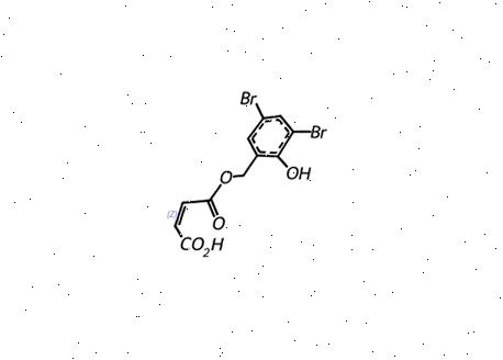 O=C(O)/C=C\C(=O)OCc1cc(Br)cc(Br)c1O